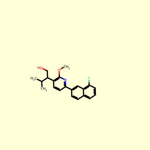 COc1nc(-c2ccc3cccc(F)c3c2)ccc1C(CO)C(C)C